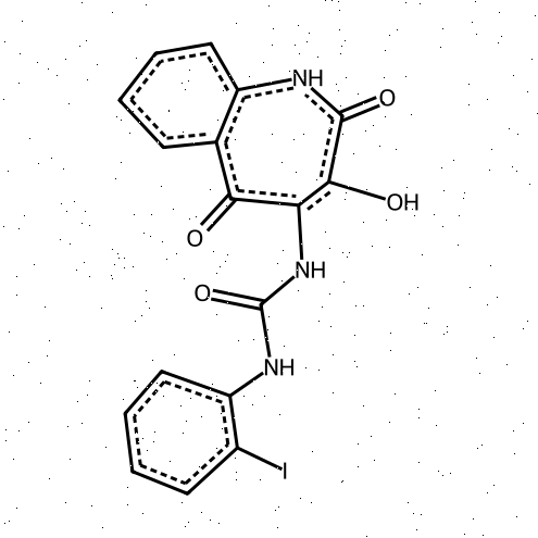 O=C(Nc1ccccc1I)Nc1c(O)c(=O)[nH]c2ccccc2c1=O